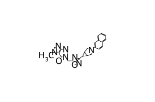 Cn1cnc2ncn(Cc3nc(C4C5CN(c6ccc7ccccc7c6)CC54)no3)c(=O)c21